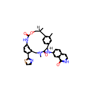 Cc1cc2ccc1[C@@H](C)COC(=O)Nc1ccc(-c3nccs3)c(c1)CN(C)C(=O)[C@@H]2Nc1ccc2cc[nH]c(=O)c2c1